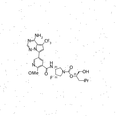 COc1ncc(-c2cc(C(F)(F)F)c3c(N)ncnn23)cc1C(=O)N[C@@H]1CN(C(=O)O[C@@H](CO)CC(C)C)C[C@@H]1F